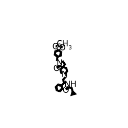 CS(=O)(=O)c1ccc(CN2CCC3(CCN(CCC(NC(=O)CC4CC4)c4ccccc4)CC3)C2=O)cc1